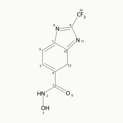 O=C(NO)C1=CC=C2N=C(C(F)(F)F)N=C2C1